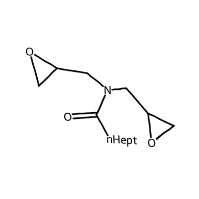 CCCCCCCC(=O)N(CC1CO1)CC1CO1